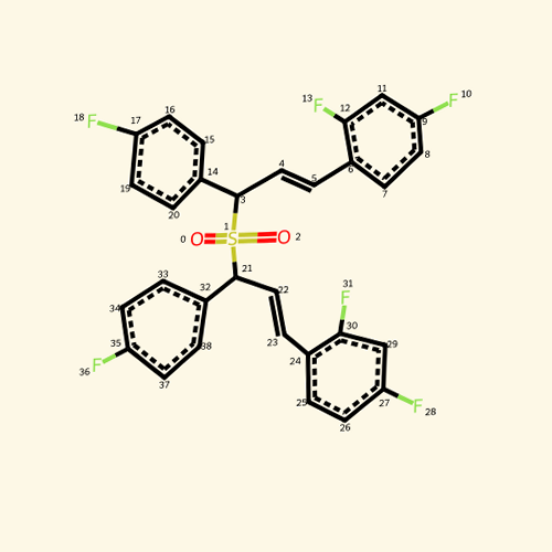 O=S(=O)(C(C=Cc1ccc(F)cc1F)c1ccc(F)cc1)C(C=Cc1ccc(F)cc1F)c1ccc(F)cc1